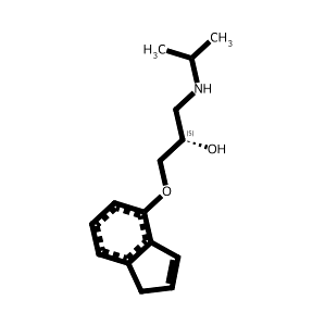 CC(C)NC[C@H](O)COc1cccc2c1C=CC2